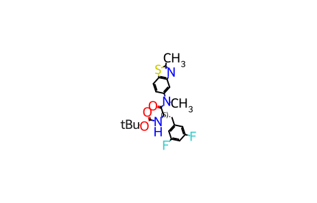 Cc1nc2cc(N(C)C(=O)[C@H](Cc3cc(F)cc(F)c3)NC(=O)OC(C)(C)C)ccc2s1